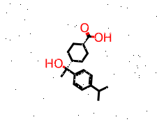 CC(C)c1ccc(C(C)(O)[C@H]2CC[C@H](C(=O)O)CC2)cc1